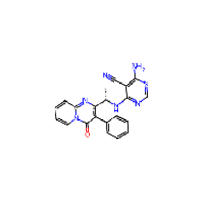 C[C@H](Nc1ncnc(N)c1C#N)c1nc2ccccn2c(=O)c1-c1ccccc1